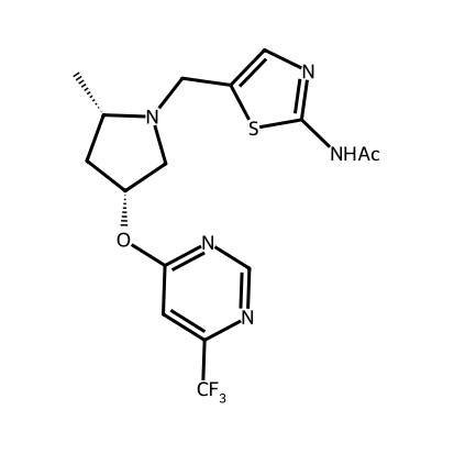 CC(=O)Nc1ncc(CN2C[C@H](Oc3cc(C(F)(F)F)ncn3)C[C@@H]2C)s1